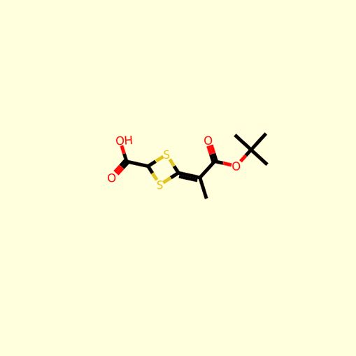 CC(C(=O)OC(C)(C)C)=C1SC(C(=O)O)S1